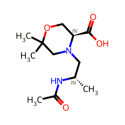 CC(=O)N[C@@H](C)CN1CC(C)(C)OC[C@H]1C(=O)O